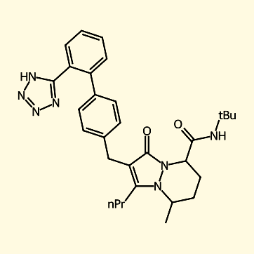 CCCc1c(Cc2ccc(-c3ccccc3-c3nnn[nH]3)cc2)c(=O)n2n1C(C)CCC2C(=O)NC(C)(C)C